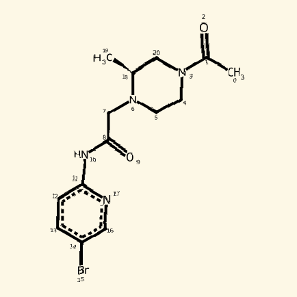 CC(=O)N1CCN(CC(=O)Nc2ccc(Br)cn2)[C@@H](C)C1